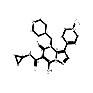 CN1CC=C(c2cnn3c(O)c(C(=O)NC4CC4)c(=O)n(CC4CCOCC4)c23)CC1